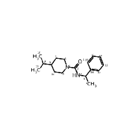 CC(NC(=O)N1CCC(C(C)C)CC1)c1ccccc1